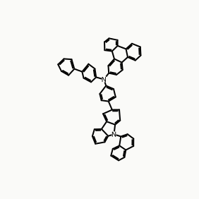 c1ccc(-c2ccc(N(c3ccc(-c4ccc5c(c4)c4ccccc4n5-c4cccc5ccccc45)cc3)c3ccc4c5ccccc5c5ccccc5c4c3)cc2)cc1